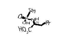 CC(C)C[C@H](NP(=O)(O)O)C(=O)O